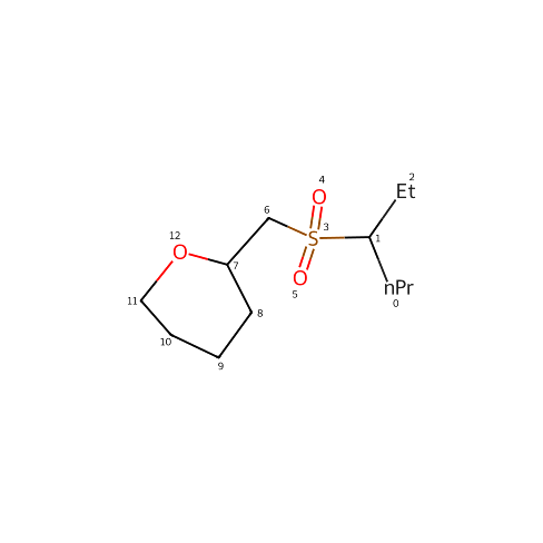 CCCC(CC)S(=O)(=O)CC1CCCCO1